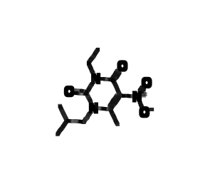 CCn1c(=O)c([N+](=O)[O-])c(C)n(CC(C)C)c1=O